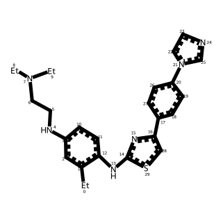 CCc1cc(NCCN(CC)CC)ccc1Nc1nc(-c2ccc(-n3ccnc3)cc2)cs1